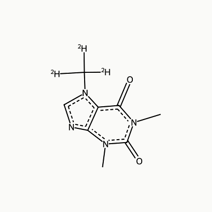 [2H]C([2H])([2H])n1cnc2c1c(=O)n(C)c(=O)n2C